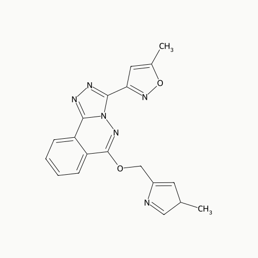 Cc1cc(-c2nnc3c4ccccc4c(OCC4=CC(C)C=N4)nn23)no1